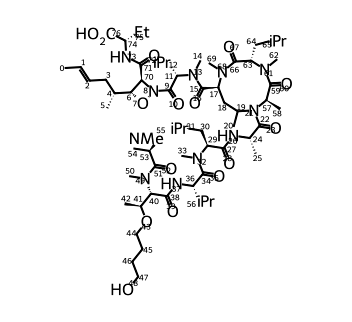 C/C=C/C[C@@H](C)[C@H]1ON(C(=O)[C@H](C(C)C)N(C)C(=O)[C@@H]2CC(C)N(C(=O)[C@H](C)NC(=O)[C@H](CC(C)C)N(C)C(=O)[C@@H](NC(=O)[C@H]([C@H](C)OCCCCO)N(C)C(=O)[C@@H](C)NC)C(C)C)[C@H](C)C(=O)N(C)[C@@H](CC(C)C)C(=O)N2C)[C@@H]1C(=O)N[C@@H](CC)C(=O)O